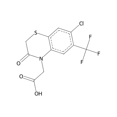 O=C(O)CN1C(=O)CSc2cc(Cl)c(C(F)(F)F)cc21